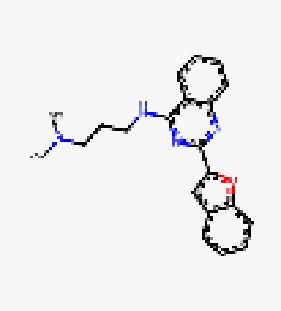 CCCN(CCC)CCCNc1nc(-c2cc3ccccc3o2)nc2ccccc12